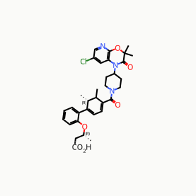 CC1C(C(=O)N2CCC(N3C(=O)C(C)(C)Oc4ncc(Cl)cc43)CC2)=CC=C(c2ccccc2O[C@H](C)CC(=O)O)[C@@H]1C